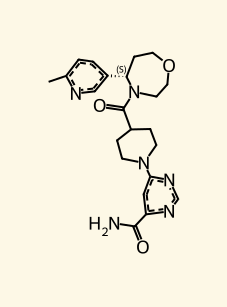 Cc1ccc([C@@H]2CCOCCN2C(=O)C2CCN(c3cc(C(N)=O)ncn3)CC2)cn1